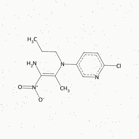 CCCN(C(C)=C(N)[N+](=O)[O-])c1ccc(Cl)nc1